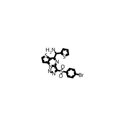 NC(c1cccs1)c1nc2c(S(=O)(=O)c3ccc(Br)cc3)nnn2c2ccsc12